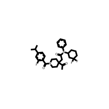 CC(=O)C1(CC(=O)N(c2ccccc2)C2CCCC(F)(F)C2)CCN(C(=O)c2ccc(C(C)C)cc2F)CC1